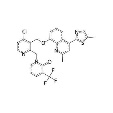 Cc1cc(-c2ncc(C)s2)c2cccc(OCc3c(Cl)ccnc3Cn3cccc(C(F)(F)F)c3=O)c2n1